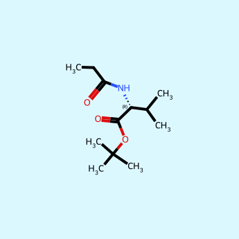 CCC(=O)N[C@@H](C(=O)OC(C)(C)C)C(C)C